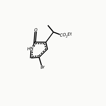 CCOC(=O)C(C)c1cc(Br)c[nH]c1=O